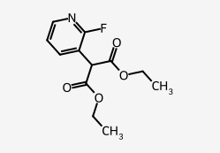 CCOC(=O)C(C(=O)OCC)c1cccnc1F